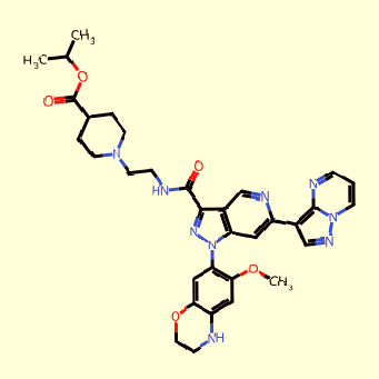 COc1cc2c(cc1-n1nc(C(=O)NCCN3CCC(C(=O)OC(C)C)CC3)c3cnc(-c4cnn5cccnc45)cc31)OCCN2